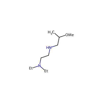 CCN(CC)CCNCC(C)OC